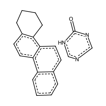 O=c1ncnc[nH]1.c1ccc2c(c1)ccc1c3c(ccc12)CCCC3